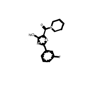 O=C(c1sc(-c2cccc(F)c2)nc1O)N1CCCCC1